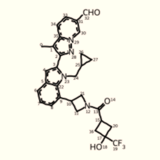 Cc1c(-c2cc3cccc(C4CN(C(=O)C5CC(O)(C(F)(F)F)C5)C4)c3n2CC2CC2)nn2cc(C=O)ccc12